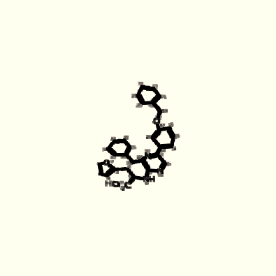 O=C(O)C(Cc1ccco1)Nc1ncc(-c2cccc(OCc3ccccc3)c2)nc1Cc1ccccc1